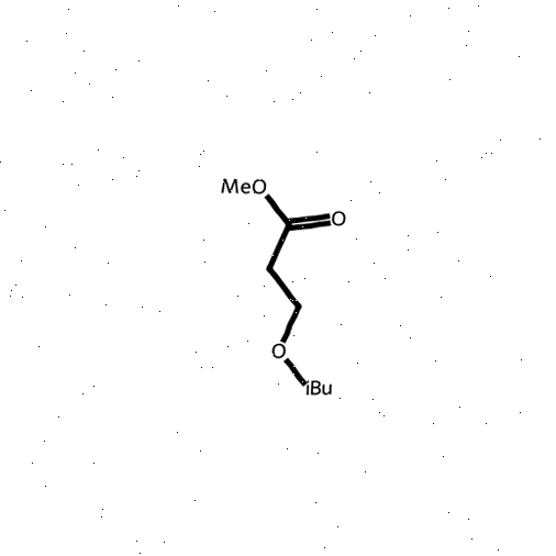 CCC(C)OCCC(=O)OC